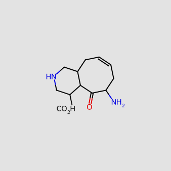 NC1C/C=C\CC2CNCC(C(=O)O)C2C1=O